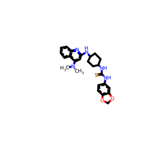 CN(C)c1cc(NC2CCC(NC(=S)Nc3ccc4c(c3)OCO4)CC2)nc2ccccc12